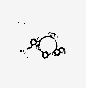 CC1(C)CCCC(C)(c2cccc(CCC(=O)O)c2)c2csc(n2)-c2cccc(c2)Oc2c(F)cc3[nH]ccc3c2CCSC1